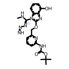 CN/C(=N\N=N)n1c(OCc2cccc(NC(=O)OC(C)(C)C)n2)nc2c(O)cccc21